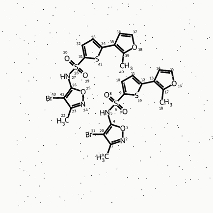 Cc1noc(NS(=O)(=O)c2ccc(-c3ccoc3C)s2)c1Br.Cc1noc(NS(=O)(=O)c2ccc(-c3ccoc3C)s2)c1Br